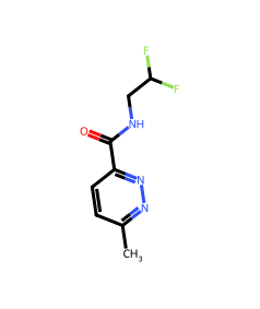 Cc1ccc(C(=O)NCC(F)F)nn1